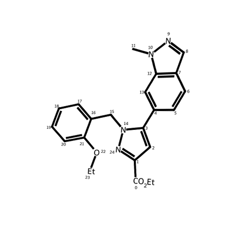 CCOC(=O)c1cc(-c2ccc3cnn(C)c3c2)n(Cc2ccccc2OCC)n1